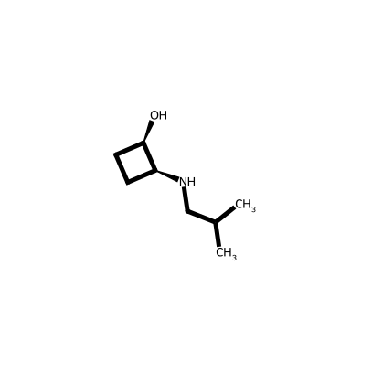 CC(C)CN[C@H]1CC[C@H]1O